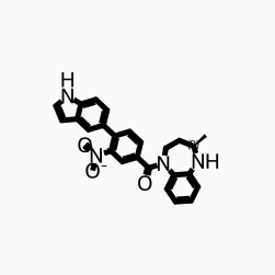 C[C@@H]1CCN(C(=O)c2ccc(-c3ccc4[nH]ccc4c3)c([N+](=O)[O-])c2)c2ccccc2N1